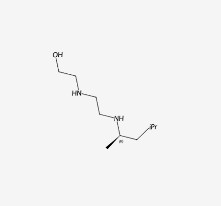 CC(C)C[C@@H](C)NCCNCCO